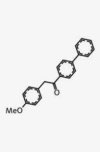 COc1ccc(CC(=O)c2ccc(-c3ccccc3)cc2)cc1